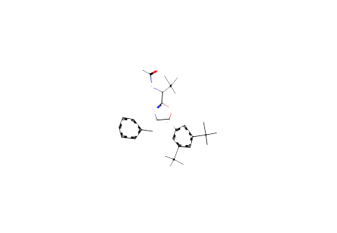 CC(=O)NC(C1=N[C@@H](Cc2ccccc2)[C@H](c2cc(C(C)(C)C)cc(C(C)(C)C)c2)O1)C(C)(C)C